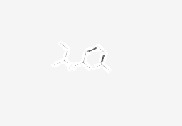 CCC(C)OC1C=CC=C(C)C1